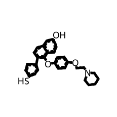 Oc1ccc2c(Oc3ccc(OCCN4CCCCC4)cc3)c(-c3ccc(S)cc3)ccc2c1